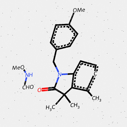 CONC=O.COc1ccc(CN2C(=O)C(C)(C)c3c(C)cccc32)cc1